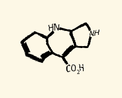 O=C(O)C1=C2CNCC2NC2CC=CC=C12